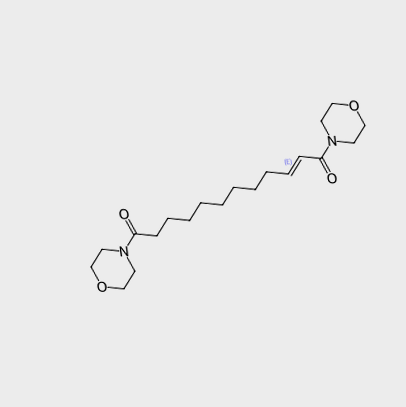 O=C(/C=C/CCCCCCCCC(=O)N1CCOCC1)N1CCOCC1